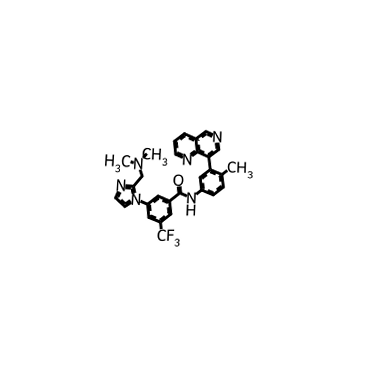 Cc1ccc(NC(=O)c2cc(-n3ccnc3CN(C)C)cc(C(F)(F)F)c2)cc1-c1cncc2cccnc12